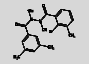 Cc1cc(C)cc(C(=O)N(N(C#N)C(=O)c2cccc(C)c2Br)C(C)(C)C)c1